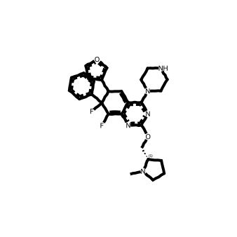 CN1CCC[C@H]1COc1nc(N2CCNCC2)c2c(n1)=C(F)C(F)(c1ccccc1)C(c1ccoc1)C=2